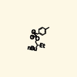 CCCCC(CC)COS(=O)(=O)c1ccc(C)cc1